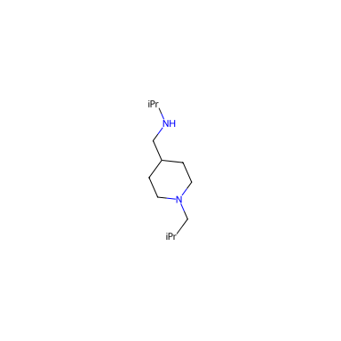 CC(C)CN1CCC(CNC(C)C)CC1